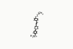 CCCCCc1ccc(C#CC2=CCC(c3ccc(CC)cc3)CC2)cc1